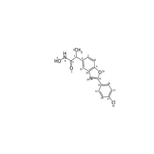 CC(C(=O)NO)c1ccc2oc(-c3ccc(Cl)cc3)nc2c1